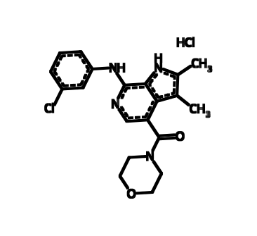 Cc1[nH]c2c(Nc3cccc(Cl)c3)ncc(C(=O)N3CCOCC3)c2c1C.Cl